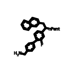 CCCCCC(Cc1ccc2ccccc2c1)c1ccc(-c2ccc(CN)cc2)c(F)c1